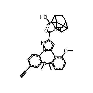 C#Cc1ccc(-n2nc(C(=O)NC3(C(=O)O)C4CC5CC(C4)C3C5)cc2-c2c(OC)cccc2OC)c(C(C)C)c1